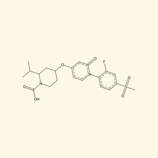 CC(C)C1CC(Oc2ccn(-c3ccc(S(C)(=O)=O)cc3F)c(=O)c2)CCN1C(=O)O